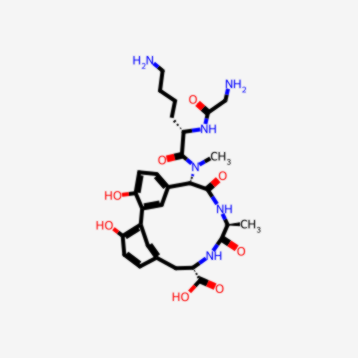 C[C@@H]1NC(=O)[C@@H](N(C)C(=O)[C@H](CCCCN)NC(=O)CN)c2ccc(O)c(c2)-c2cc(ccc2O)C[C@@H](C(=O)O)NC1=O